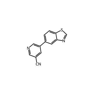 N#Cc1cncc(-c2ccc3scnc3c2)c1